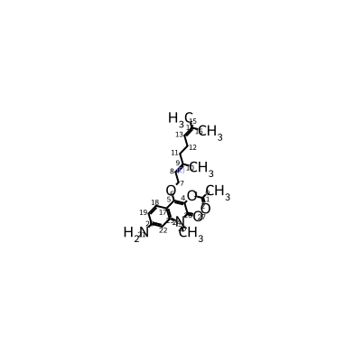 CC(=O)Oc1c(OC/C=C(\C)CCC=C(C)C)c2ccc(N)cc2n(C)c1=O